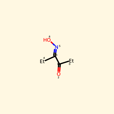 CCC(=O)C(CC)=NO